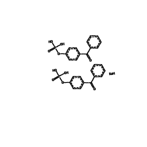 O=C(c1ccccc1)c1ccc(OP(=O)(O)O)cc1.O=C(c1ccccc1)c1ccc(OP(=O)(O)O)cc1.[NaH]